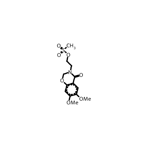 COc1cc2c(cc1OC)C(=O)N(CCOS(C)(=O)=O)CO2